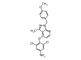 COc1ccc(Cn2nc(C)c3c(Oc4c(Cl)cc(N)cc4Cl)ccnc32)cc1